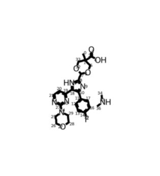 CC1(C(=O)O)COC(c2nc(-c3ccc(F)cc3)c(-c3ccnc(N4CCOCC4)n3)[nH]2)OC1.CNC